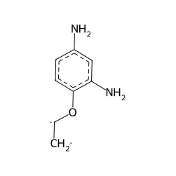 [CH2][CH]Oc1ccc(N)cc1N